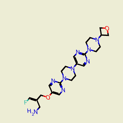 NC/C(=C\F)COc1cnc(N2CCN(c3cnc(N4CCN(C5COC5)CC4)nc3)CC2)nc1